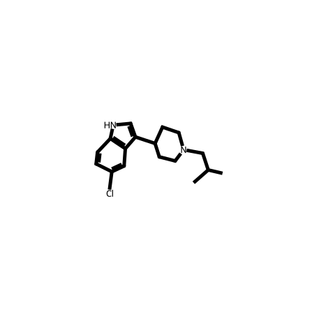 C[C](C)CN1CCC(c2c[nH]c3ccc(Cl)cc23)CC1